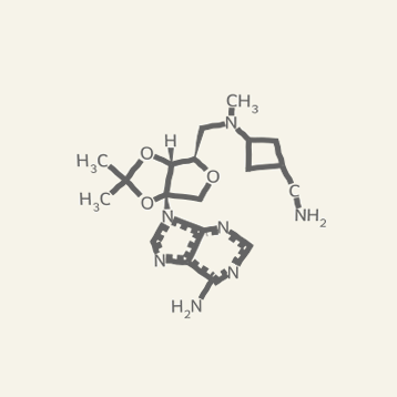 CN(C[C@H]1OC[C@]2(n3cnc4c(N)ncnc43)OC(C)(C)O[C@H]12)C1CC(CN)C1